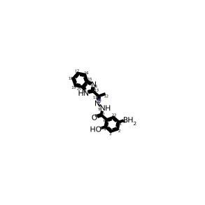 Bc1ccc(O)c(C(=O)N/N=C(\C)c2nc3ccccc3[nH]2)c1